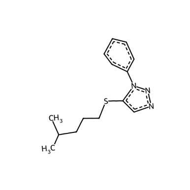 CC(C)CCCSc1cnnn1-c1ccccc1